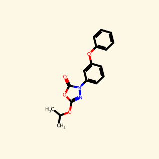 CC(C)Oc1nn(-c2cccc(Oc3ccccc3)c2)c(=O)o1